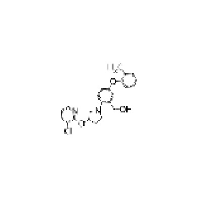 Cc1ccccc1Oc1ccc(N2CCC(Oc3ncccc3Cl)C2)c(CO)c1